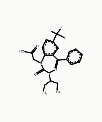 CCC(CC)[C@@H]1N=C(c2ccccc2)c2cc(C(F)(F)F)ccc2N(CC(=O)O)C1=O